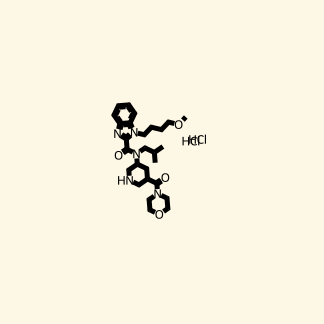 COCCCCn1c(C(=O)N(CC(C)C)C2CNCC(C(=O)N3CCOCC3)C2)nc2ccccc21.Cl.Cl